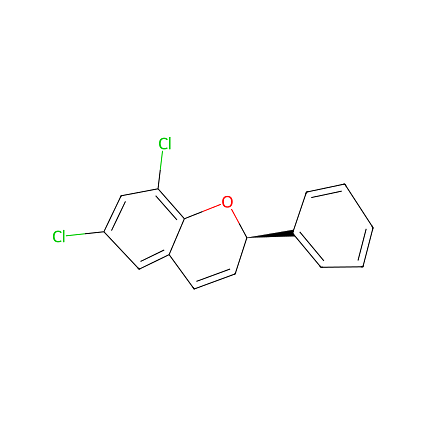 Clc1cc(Cl)c2c(c1)C=C[C@H](c1ccccc1)O2